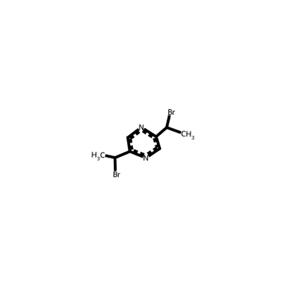 CC(Br)c1cnc(C(C)Br)cn1